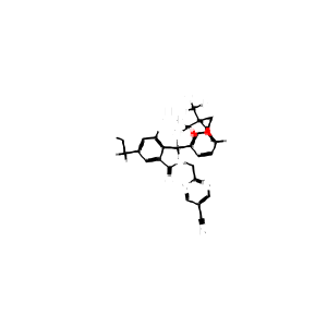 BC(B)(O)C1(C(B)(B)O[C@]2(c3ccc(Cl)cc3)c3c(F)cc(C(C)(O)CC)cc3C(=O)N2Cc2ncc(C#N)cn2)CC1